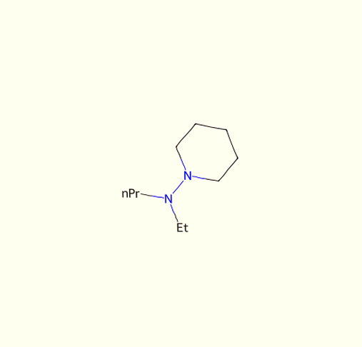 CCCN(CC)N1CCCCC1